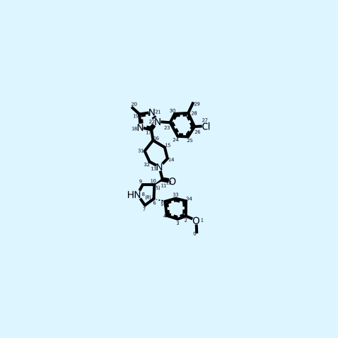 COc1ccc([C@@H]2CNC[C@H]2C(=O)N2CCC(c3nc(C)nn3-c3ccc(Cl)c(C)c3)CC2)cc1